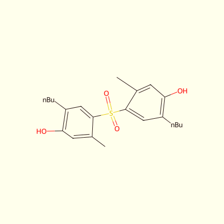 CCCCc1cc(S(=O)(=O)c2cc(CCCC)c(O)cc2C)c(C)cc1O